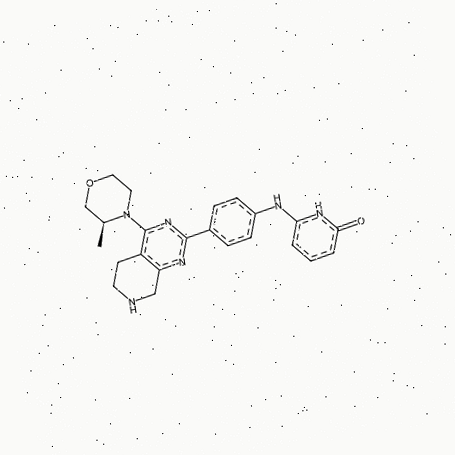 C[C@H]1COCCN1c1nc(-c2ccc(Nc3cccc(=O)[nH]3)cc2)nc2c1CCNC2